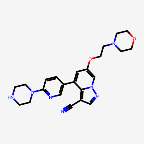 N#Cc1cnn2cc(OCCN3CCOCC3)cc(-c3ccc(N4CCNCC4)nc3)c12